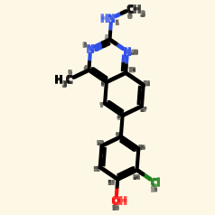 CNc1nc(C)c2cc(-c3ccc(O)c(Cl)c3)ccc2n1